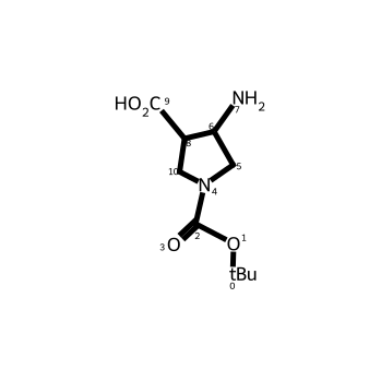 CC(C)(C)OC(=O)N1CC(N)C(C(=O)O)C1